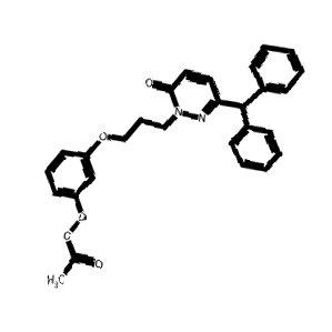 CC(=O)OOc1cccc(OCCCn2nc(C(c3ccccc3)c3ccccc3)ccc2=O)c1